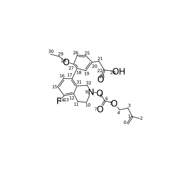 C=C(C)CCOC(=O)ON1CCc2c(F)ccc(-c3cc(CC(=O)O)ccc3OCC)c2C1